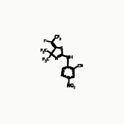 N#Cc1cc([N+](=O)[O-])ccc1NC1=NC(C(F)(F)F)(C(F)(F)F)/C(=C(\F)C(F)(F)F)S1